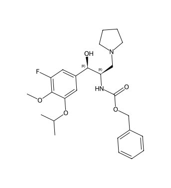 COc1c(F)cc([C@@H](O)[C@@H](CN2CCCC2)NC(=O)OCc2ccccc2)cc1OC(C)C